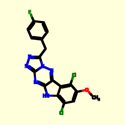 COc1cc(Cl)c2[nH]c3nc4nnc(Cc5ccc(F)cc5)n4nc3c2c1Cl